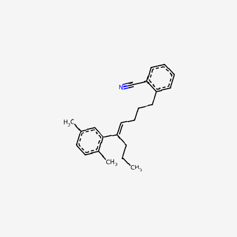 CCC/C(=C\CCCc1ccccc1C#N)c1cc(C)ccc1C